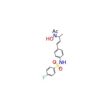 CC(=O)N(O)C(C)C=Cc1ccc(NS(=O)(=O)c2ccc(F)cc2)cc1